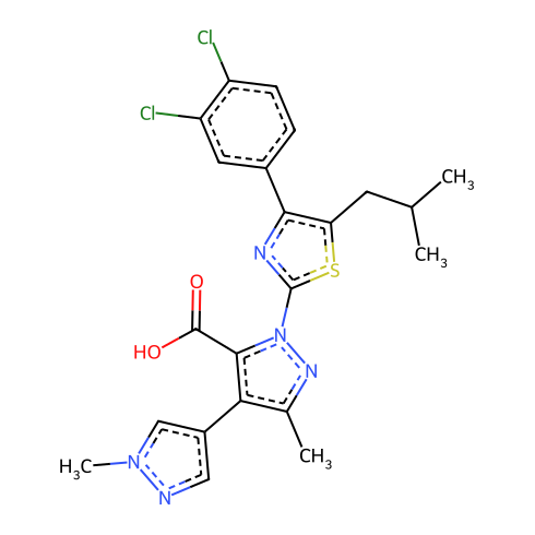 Cc1nn(-c2nc(-c3ccc(Cl)c(Cl)c3)c(CC(C)C)s2)c(C(=O)O)c1-c1cnn(C)c1